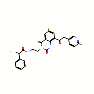 CC(C(=O)NCCn1c(=O)[nH]c2c(C(=O)Cc3ccc(Cl)nc3)cc(F)cc2c1=O)c1ccccc1